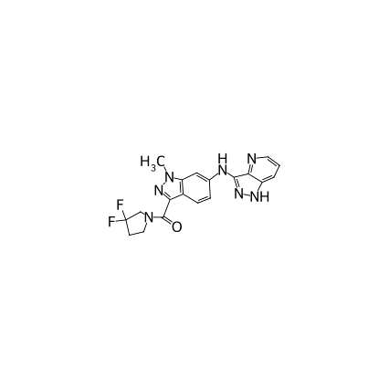 Cn1nc(C(=O)N2CCC(F)(F)C2)c2ccc(Nc3n[nH]c4cccnc34)cc21